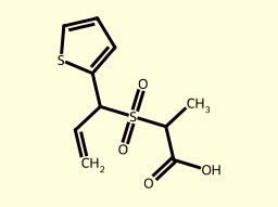 C=CC(c1cccs1)S(=O)(=O)C(C)C(=O)O